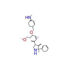 C=C(/C=C\C(CCOC)OCC1C=C[C@@H](NC)CC1)C1CNC(C)(C2=CC=CCC2)C1=C